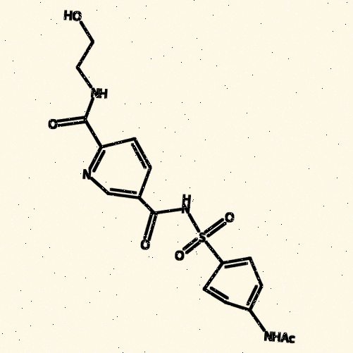 CC(=O)Nc1ccc(S(=O)(=O)NC(=O)c2ccc(C(=O)NCCO)nc2)cc1